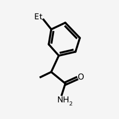 CCc1cccc(C(C)C(N)=O)c1